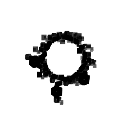 CC[C@H](C)[C@@H]1NC(=O)[C@H](C)N(C)C(=O)C[C@@H](C)NC(=O)[C@H](CC(C)C)N(C)C(=O)[C@H](Cc2ccccc2)N(C)C(=O)[C@H](C)N(C)C(=O)[C@H](CCc2ccc(C(F)(F)F)cc2)NC(=O)CN(C)C(=O)[C@H](Cc2ccc(Cl)cc2)N(C)C(=O)CN(C)C(=O)CN(C)C1=O